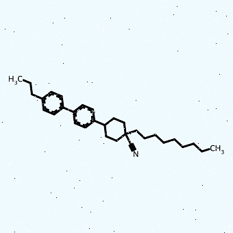 CCCCCCCCCC1(C#N)CCC(c2ccc(-c3ccc(CCC)cc3)cc2)CC1